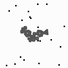 CC1(C)OC(=O)C(Oc2ccc(C3CC3)cn2)=C1c1ccc(S(C)(=O)=O)cc1